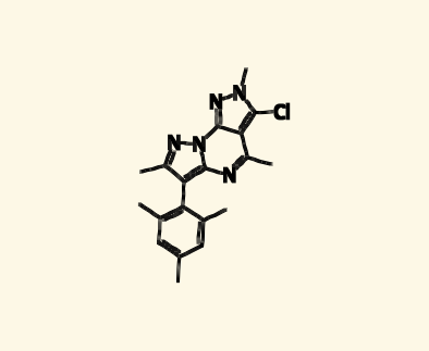 Cc1cc(C)c(-c2c(C)nn3c2nc(C)c2c(Cl)n(C)nc23)c(C)c1